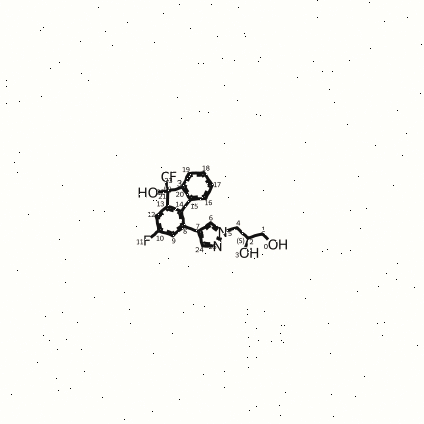 OC[C@@H](O)Cn1cc(-c2cc(F)cc3c2-c2ccccc2[C@]3(O)C(F)(F)F)cn1